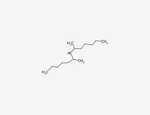 CCCCC[CH](C)[Al][CH](C)CCCCC